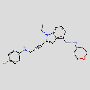 CCn1c(C#CCNc2ccc(F)cc2)cc2c(CNC3CCOCC3)cccc21